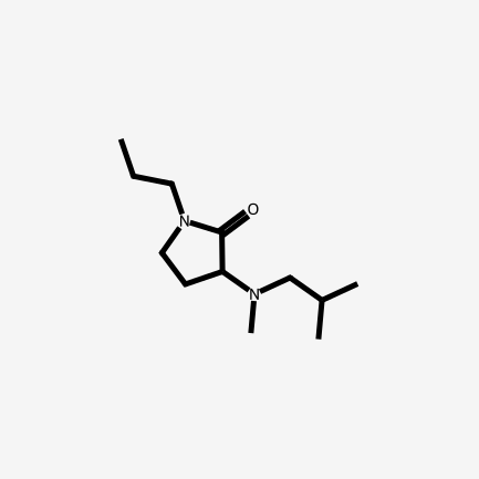 CCCN1CCC(N(C)CC(C)C)C1=O